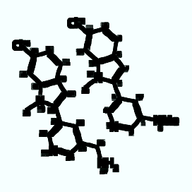 CNc1cncc(-c2cc3ccc(Cl)cc3n2C)c1.Cn1c(-c2cncc(CN)c2)cc2ccc(Cl)cc21